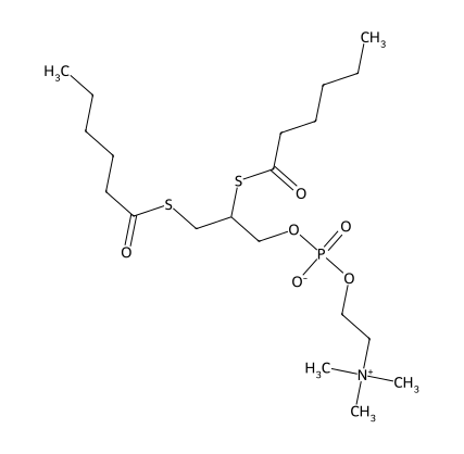 CCCCCC(=O)SCC(COP(=O)([O-])OCC[N+](C)(C)C)SC(=O)CCCCC